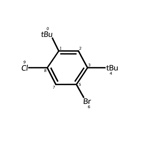 CC(C)(C)c1cc(C(C)(C)C)c(Br)cc1Cl